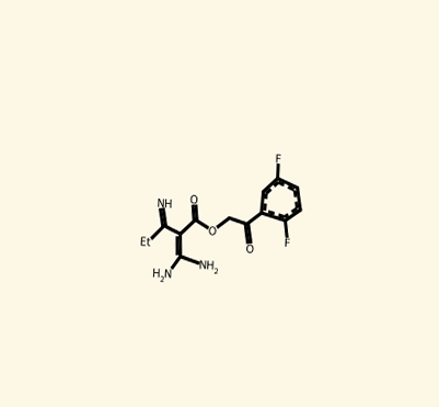 CCC(=N)C(C(=O)OCC(=O)c1cc(F)ccc1F)=C(N)N